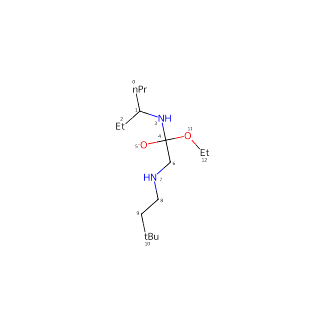 CCCC(CC)NC([O])(CNCCC(C)(C)C)OCC